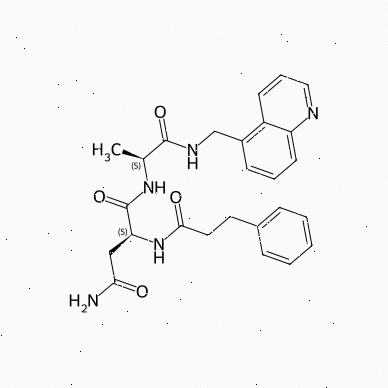 C[C@H](NC(=O)[C@H](CC(N)=O)NC(=O)CCc1ccccc1)C(=O)NCc1cccc2ncccc12